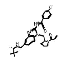 C=CC(=O)N1CCC[C@H]1Cn1c(NC(=O)c2ccc(Cl)cc2)nc2cc(CN[C@@H](C)C(C)(C)C)ccc21